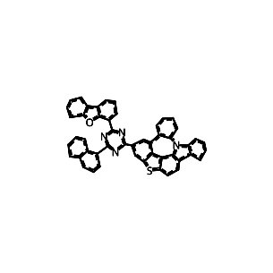 c1ccc2c(-c3nc(-c4cc5sc6ccc7c8ccccc8n8c9ccccc9c(c4)c5c6c78)nc(-c4cccc5c4oc4ccccc45)n3)cccc2c1